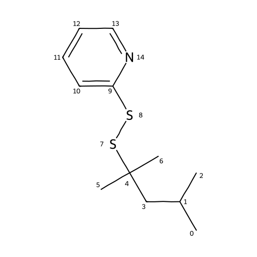 CC(C)CC(C)(C)SSc1ccccn1